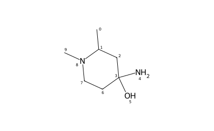 CC1CC(N)(O)CCN1C